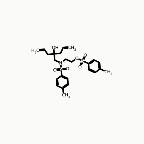 C=CCC(O)(CC=C)C[N+](CCOS(=O)(=O)c1ccc(C)cc1)S(=O)(=O)c1ccc(C)cc1